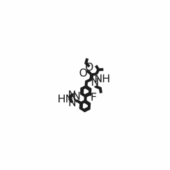 CCCN1NC(C(C)C)C(C(=O)OCC)=C1Cc1ccc(-c2ccccc2-c2nn[nH]n2)c(F)c1